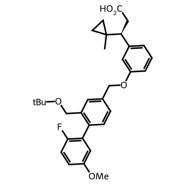 COc1ccc(F)c(-c2ccc(COc3cccc([C@H](CC(=O)O)C4(C)CC4)c3)cc2COC(C)(C)C)c1